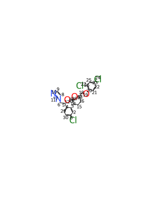 Clc1ccc(C(Cn2ccnc2)O[C@H]2CCC[C@H](COc3ccc(Cl)cc3Cl)O2)cc1